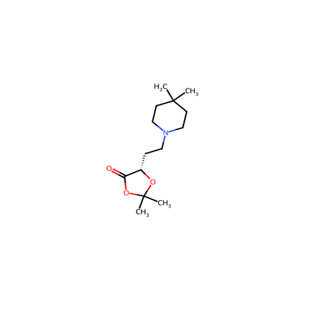 CC1(C)CCN(CC[C@@H]2OC(C)(C)OC2=O)CC1